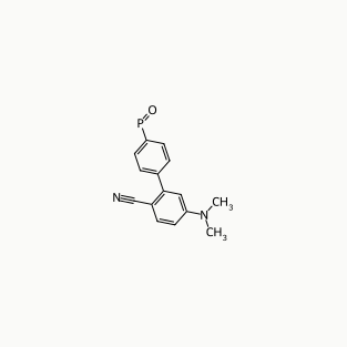 CN(C)c1ccc(C#N)c(-c2ccc(P=O)cc2)c1